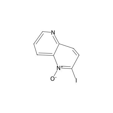 [O-][n+]1c(I)ccc2ncccc21